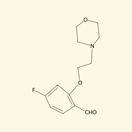 O=Cc1ccc(F)cc1OCCN1CCOCC1